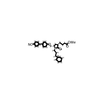 COC(=O)CCC[C@@H]1C[C@@H](COc2ccc(-c3ccc(C#N)cc3)cc2)N(CCCc2ccccc2)C1=O